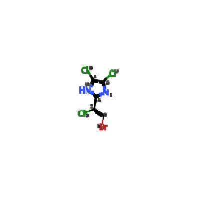 Cl/C(=C\Br)c1nc(Cl)c(Cl)[nH]1